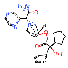 NC(=O)C(c1cnccn1)[N+]12CCC(CC1)[C@@H](OC(=O)C(O)(c1ccccc1)C1CCCC1)C2